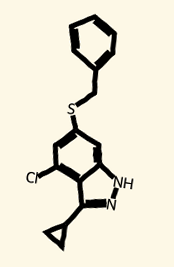 Clc1cc(SCc2ccccc2)cc2[nH]nc(C3CC3)c12